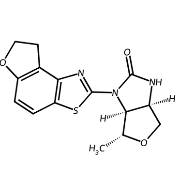 C[C@H]1OC[C@@H]2NC(=O)N(c3nc4c5c(ccc4s3)OCC5)[C@@H]21